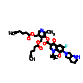 C#CCCCC(=O)OCc1cnc(C)c(OC(=O)c2cn(C3CC3)c3c(OC)c(N4CC5CCCNC5C4)c(F)cc3c2=O)c1COC(=O)CCCC#C